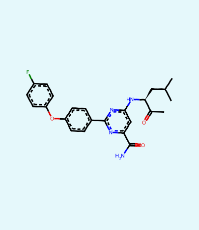 CC(=O)[C@H](CC(C)C)Nc1cc(C(N)=O)nc(-c2ccc(Oc3ccc(F)cc3)cc2)n1